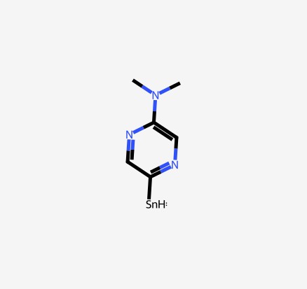 CN(C)c1cn[c]([SnH])cn1